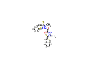 CN(NC(=O)C(=O)NN(C)C(=S)C1Cc2ccccc2S1)C(=S)C1=CC2C=CC=CC2S1